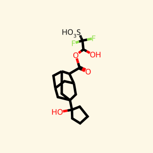 O=C(OC(O)C(F)(F)S(=O)(=O)O)C1C2CC3CC1CC(C1(O)CCCC1)(C3)C2